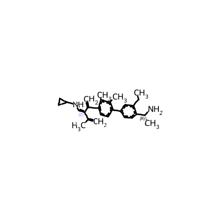 C=C(C)/C(=C/NC1CC1)C(=C)c1ccc(-c2ccc([C@@H](C)N)c(CC)c2)c(C)c1C